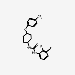 O=C(Nc1cccc(F)c1F)NC1CCC(Oc2ccc(C(F)(F)F)cc2)CC1